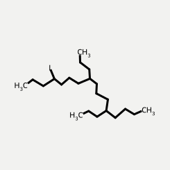 CCCCC(CCC)CCCC(CCC)CCCC(I)CCC